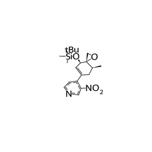 C[C@H]1CC(c2ccncc2[N+](=O)[O-])=C[C@@H](O[Si](C)(C)C(C)(C)C)[C@@]12CO2